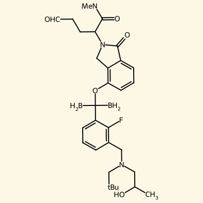 BC(B)(Oc1cccc2c1CN(C(CCC=O)C(=O)NC)C2=O)c1cccc(CN(CC(C)O)CC(C)(C)C)c1F